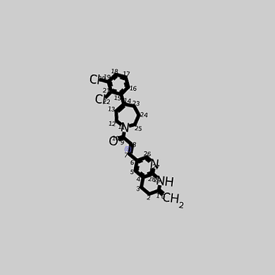 C=C1CCc2cc(/C=C/C(=O)N3CC=C(c4cccc(Cl)c4Cl)CCC3)cnc2N1